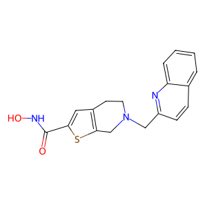 O=C(NO)c1cc2c(s1)CN(Cc1ccc3ccccc3n1)CC2